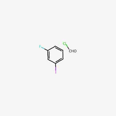 Fc1cccc(I)c1.O=CCl